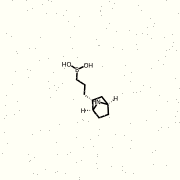 OB(O)CCC[C@@H]1C[C@H]2CC[C@@H]1N2